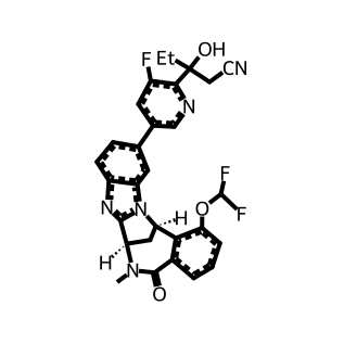 CCC(O)(CC#N)c1ncc(-c2ccc3nc4n(c3c2)[C@@H]2C[C@H]4N(C)C(=O)c3cccc(OC(F)F)c32)cc1F